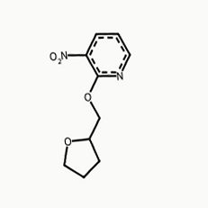 O=[N+]([O-])c1cccnc1OCC1CCCO1